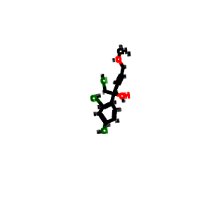 COCC#CC(O)(CCl)c1ccc(Cl)cc1Cl